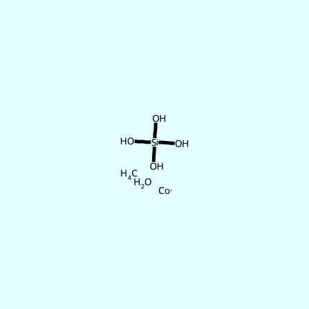 C.O.O[Si](O)(O)O.[Co]